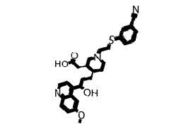 COc1ccc2nccc(C(O)CC[C@@H]3CCN(CCSc4cccc(C#N)c4)C[C@@H]3CC(=O)O)c2c1